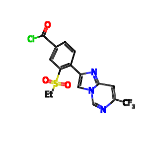 CCS(=O)(=O)c1cc(C(=O)Cl)ccc1-c1cn2cnc(C(F)(F)F)cc2n1